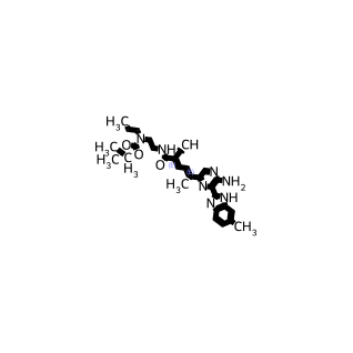 C#C/C(=C\C=C(/C)c1cnc(N)c(-c2nc3ccc(C)cc3[nH]2)n1)C(=O)NCCN(CCC)C(=O)OC(C)(C)C